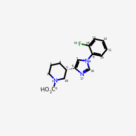 O=C(O)N1CCC[C@H](c2cn(-c3ccccc3F)cn2)C1